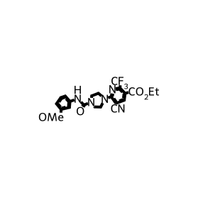 CCOC(=O)c1cc(C#N)c(N2CCN(C(=O)Nc3cccc(OC)c3)CC2)nc1C(F)(F)F